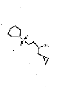 CN(CCS(=O)(=O)N1CC[CH]CC1)CC1CC1